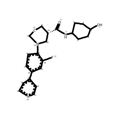 O=C(NC1CCC(O)CC1)[C@H]1CCCN(c2ccc(-c3ccncc3)cc2F)C1